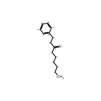 CCCCCCC(=S)CCc1ccccc1